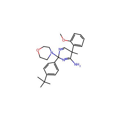 COc1ccccc1C1(C)C=NC(c2ccc(C(C)(C)C)cc2)(N2CCOCC2)N=C1N